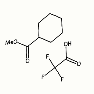 COC(=O)C1CCCCC1.O=C(O)C(F)(F)F